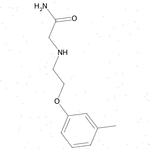 Cc1cccc(OCCNCC(N)=O)c1